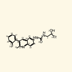 CCC(O)CNC(=O)Nc1ccc2nc(C)c(-c3ccccc3F)cc2c1